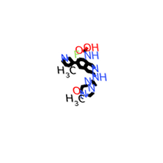 Cc1ccncc1-c1cc2cc(Nc3cn4c(n3)CC(=O)N(C)CC4)ncc2c(NC(=O)O)c1F